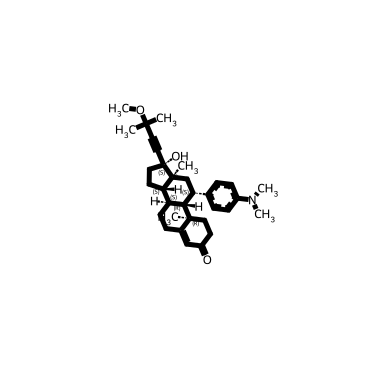 COC(C)(C)C#C[C@]1(O)CC[C@H]2[C@@H]3CCC4=CC(=O)CC[C@]4(C)[C@H]3[C@@H](c3ccc(N(C)C)cc3)C[C@@]21C